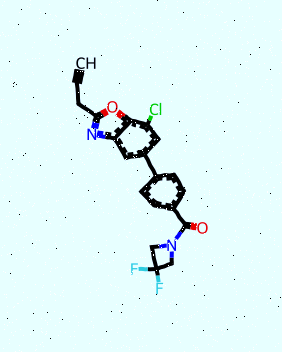 C#CCc1nc2cc(-c3ccc(C(=O)N4CC(F)(F)C4)cc3)cc(Cl)c2o1